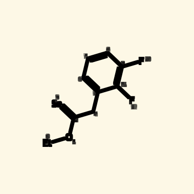 CCOC(=[Se])Cc1cccc(F)c1F